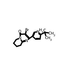 CC(C)(C)c1ccc(-c2nc3n(c(=O)c2Br)CCCC3)cn1